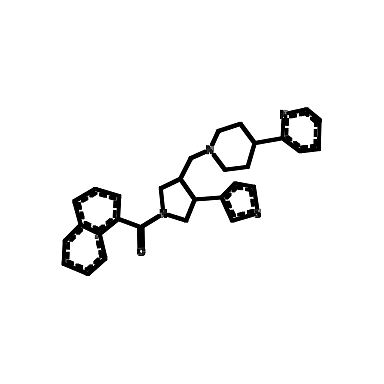 O=C(c1cccc2ccccc12)N1CC(CN2CCC(c3ccccn3)CC2)C(c2ccsc2)C1